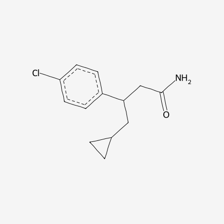 NC(=O)CC(CC1CC1)c1ccc(Cl)cc1